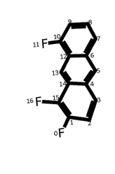 Fc1ccc2cc3cccc(F)c3cc2c1F